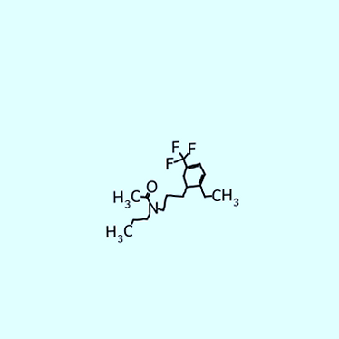 CCCN(CCCC1CC(C(F)(F)F)=CC=C1CC)C(C)=O